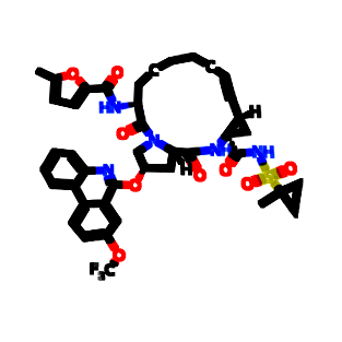 Cc1ccc(C(=O)N[C@H]2CCCCC/C=C\[C@@H]3C[C@@]3(C(=O)NS(=O)(=O)C3(C)CC3)NC(=O)[C@@H]3C[C@@H](Oc4nc5ccccc5c5ccc(OC(F)(F)F)cc45)CN3C2=O)o1